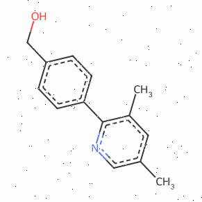 Cc1cnc(-c2ccc(CO)cc2)c(C)c1